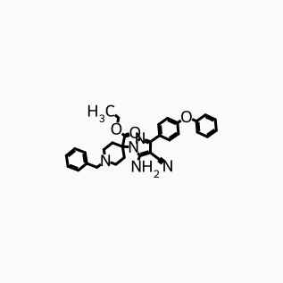 CCOC(=O)C1(n2nc(-c3ccc(Oc4ccccc4)cc3)c(C#N)c2N)CCN(Cc2ccccc2)CC1